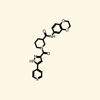 O=C(Nc1ccc2c(c1)OCCO2)C1CCCN(C(=O)c2cc(-c3ccncc3)[nH]n2)C1